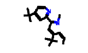 C\C=C/C(=C\C(=N\C)c1cc(C(C)(C)C)ccn1)C(C)(C)C